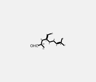 CC=C(CCC=C(C)C)CC(C)C=O